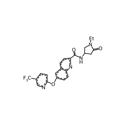 CCN1CC(NC(=O)c2ccc3cc(Oc4ccc(C(F)(F)F)cn4)ccc3n2)CC1=O